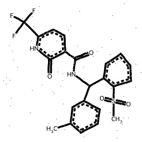 Cc1cccc(C(NC(=O)c2ccc(C(F)(F)F)[nH]c2=O)c2ccccc2S(C)(=O)=O)c1